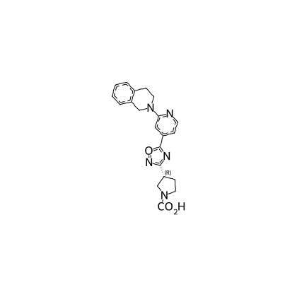 O=C(O)N1CC[C@@H](c2noc(-c3ccnc(N4CCc5ccccc5C4)c3)n2)C1